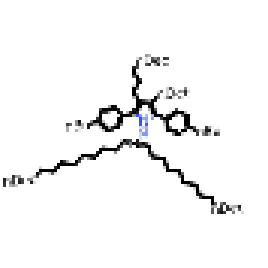 CCCCCCCCCCCCCC1=C(c2ccc(CCCC)cc2)[N+](=[N-])C(c2ccc(CCCC)cc2)=C1CCCCCCCC.CCCCCCCCCCCCCCCCCC[CH2][Ni][CH2]CCCCCCCCCCCCCCCCCC